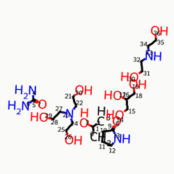 CC(C)O.NC(N)=O.O=C1CCCN1.OCC(O)CO.OCCN(CCO)CCO.OCCNCCO